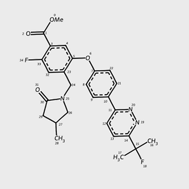 COC(=O)c1cc(Oc2ccc(-c3ccc(C(C)(C)F)nn3)cc2)c(CN2CC(C)CC2=O)cc1F